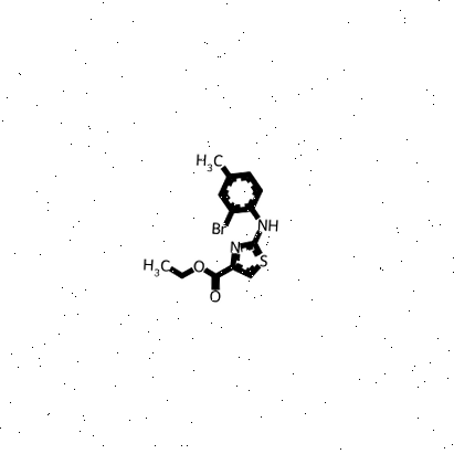 CCOC(=O)c1csc(Nc2ccc(C)cc2Br)n1